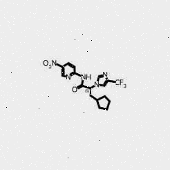 O=C(Nc1ccc([N+](=O)[O-])cn1)[C@H](CC1CCCC1)n1cnc(C(F)(F)F)c1